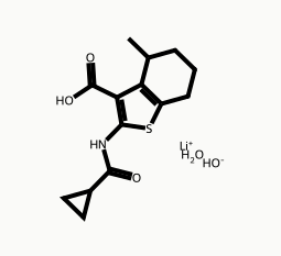 CC1CCCc2sc(NC(=O)C3CC3)c(C(=O)O)c21.O.[Li+].[OH-]